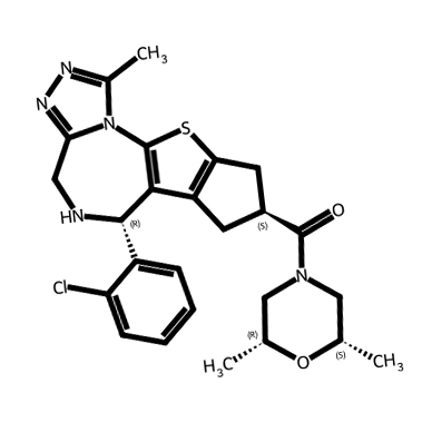 Cc1nnc2n1-c1sc3c(c1[C@H](c1ccccc1Cl)NC2)C[C@H](C(=O)N1C[C@@H](C)O[C@@H](C)C1)C3